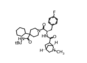 CN1C[C@H]2CC(C(=O)N[C@H](Cc3ccc(F)cc3)C(=O)N3CCC(C(=O)NC(C)(C)C)(C4CCCCC4)CC3)[C@@H]1C2